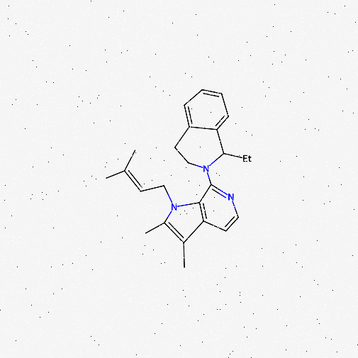 CCC1c2ccccc2CCN1c1nccc2c(C)c(C)n(CC=C(C)C)c12